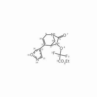 CCOC(=O)C(F)(F)ON1C(=O)N2CC=C(c3cnoc3)C1C2